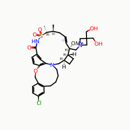 CO[C@@]1(CN2CC(CO)(CO)C2)/C=C/C[C@H](C)[C@@H](C)S(=O)(=O)NC(=O)c2ccc3c(c2)N(CCCCc2cc(Cl)ccc2CO3)C[C@@H]2CC[C@H]21